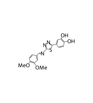 COc1ccc(C=Nc2nnc(-c3ccc(O)c(O)c3)s2)cc1OC